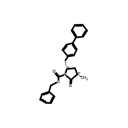 C[C@H]1C[C@@H](Cc2ccc(-c3ccccc3)cc2)N(C(=O)OCc2ccccc2)C1=O